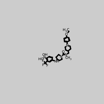 CCOc1ccc(N2CCC(CN(C)C(=O)N3CCC(Nc4ccc(N(O)O)c(C(F)(F)F)c4)CC3)CC2)cc1